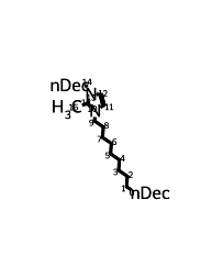 CCCCCCCCCCCCCCCCCCCN1C=CN(CCCCCCCCCC)C1C